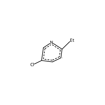 CCc1[c]cc(Cl)cn1